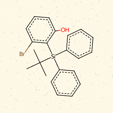 CC(C)(C)[Si](c1ccccc1)(c1ccccc1)c1c(O)cccc1Br